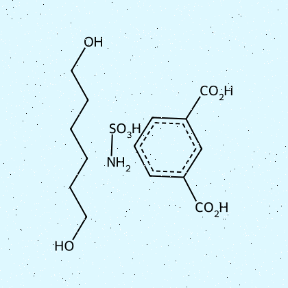 NS(=O)(=O)O.O=C(O)c1cccc(C(=O)O)c1.OCCCCCCO